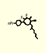 C#C/C1=C(\C=C(/C)CC/C=C/C)C/C=C(C2=CCC(CCC)CC2)\C(F)=C(\F)C1=C